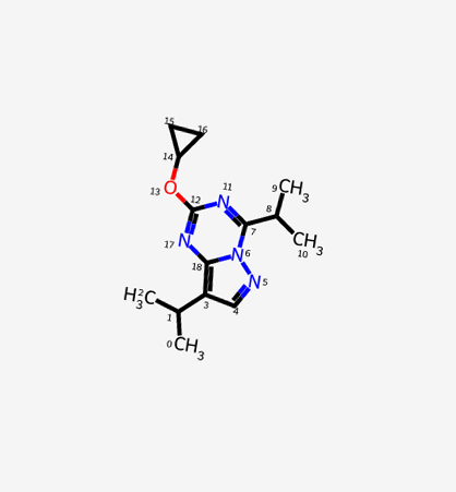 CC(C)c1cnn2c(C(C)C)nc(OC3CC3)nc12